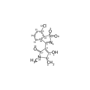 C=C1C(O)=C(C2=NS(=O)(=O)c3c(Cl)cccc32)C(=O)N1C